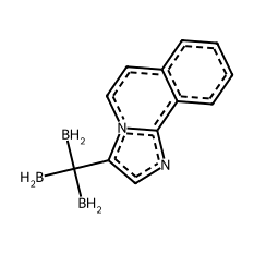 BC(B)(B)c1cnc2c3ccccc3ccn12